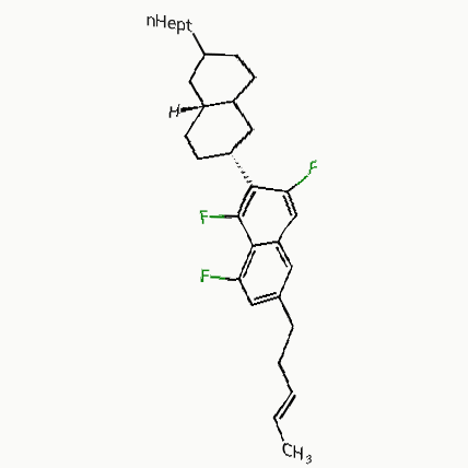 C/C=C/CCc1cc(F)c2c(F)c([C@@H]3CC[C@@H]4CC(CCCCCCC)CCC4C3)c(F)cc2c1